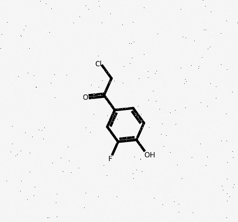 O=C(CCl)c1ccc(O)c(F)c1